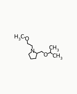 COCCN1CCCC1COC(C)C